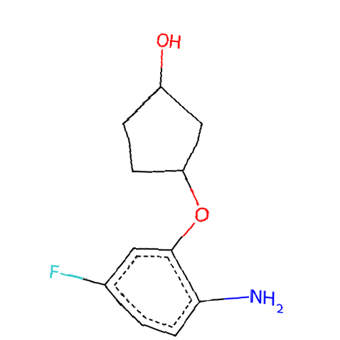 Nc1ccc(F)cc1OC1CCC(O)C1